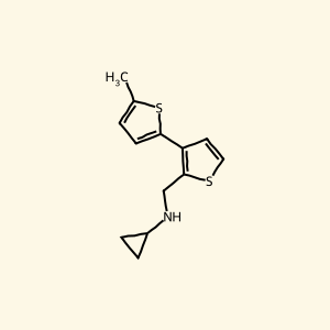 Cc1ccc(-c2ccsc2CNC2CC2)s1